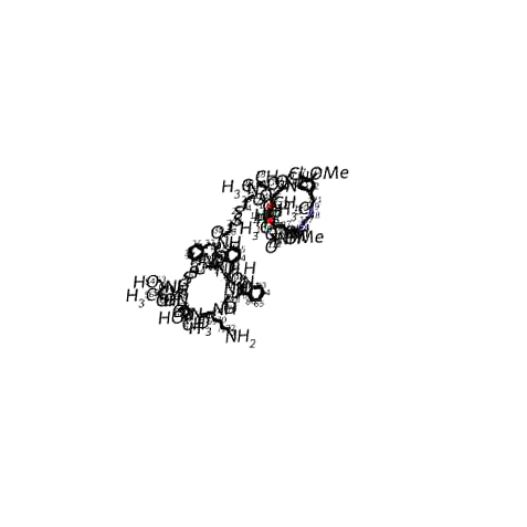 COc1cc2cc(c1Cl)N(C)C(=O)C[C@]1(OC(=O)[C@H](C)N(C)C(=O)CCSSCCC(=O)N[C@H](Cc3ccccc3)C(=O)N[C@H]3CSSC[C@@H](C(=O)N[C@H](CO)[C@@H](C)O)NC(=O)[C@H]([C@@H](C)O)NC(=O)[C@H](CCCCN)NC(=O)[C@@H](Cc4c[nH]c5ccccc45)NC(=O)[C@H](Cc4ccccc4)NC3=O)O[C@@H]([C@H](C)[C@@H]3C[C@@](O)(NC(=O)O3)[C@H](OC)/C=C/C=C(\C)C2)[C@@H]1C